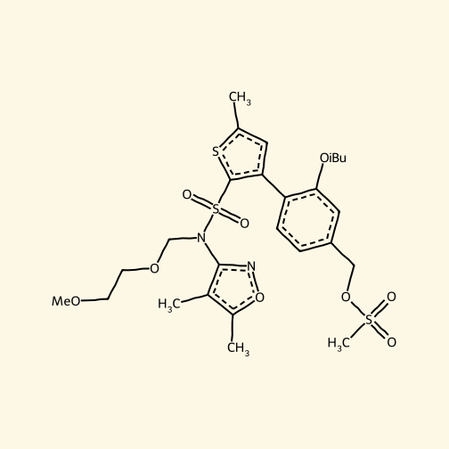 COCCOCN(c1noc(C)c1C)S(=O)(=O)c1sc(C)cc1-c1ccc(COS(C)(=O)=O)cc1OCC(C)C